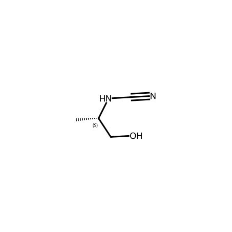 C[C@@H](CO)NC#N